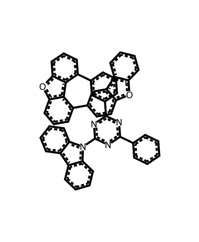 c1ccc(-c2nc(-c3cccc(-c4cccc5oc6cccc(-c7ccc8oc9ccccc9c8c7)c6c45)c3)nc(-n3c4ccccc4c4ccccc43)n2)cc1